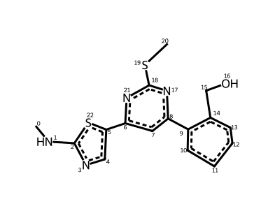 CNc1ncc(-c2cc(-c3ccccc3CO)nc(SC)n2)s1